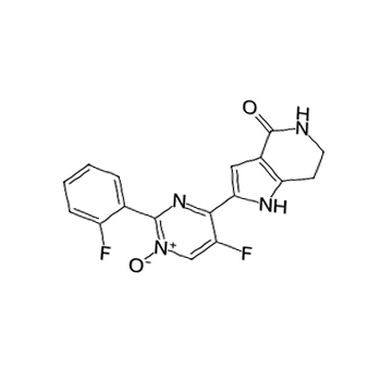 O=C1NCCc2[nH]c(-c3nc(-c4ccccc4F)[n+]([O-])cc3F)cc21